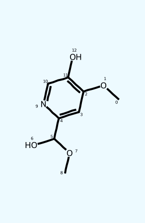 COc1cc(C(O)OC)ncc1O